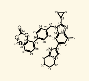 Cc1cc(-c2cn3c(n2)CCCC3)cc2c1nc(C1CC1)n2Cc1ccc(-c2ccccc2OC(=O)OC(C)(C)C)cc1